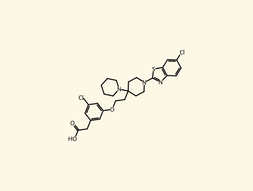 O=C(O)Cc1cc(Cl)cc(OCCC2(N3CCCCC3)CCN(c3nc4ccc(Cl)cc4s3)CC2)c1